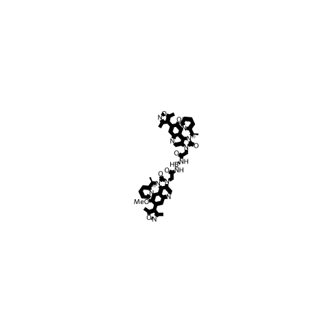 COc1cc2c(cc1-c1c(C)noc1C)ncc1c2n([C@H](C)c2ccccn2)c(=O)n1CC(=O)NBNC(=O)Cn1c(=O)n([C@H](C)c2ccccn2)c2c3cc(OC)c(-c4c(C)noc4C)cc3ncc21